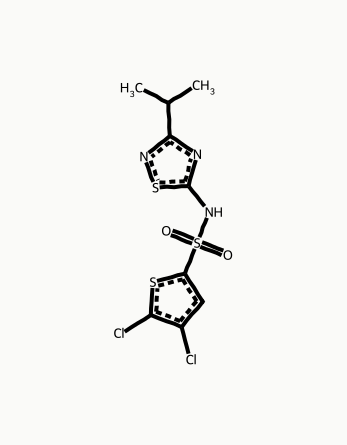 CC(C)c1nsc(NS(=O)(=O)c2cc(Cl)c(Cl)s2)n1